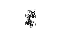 Cn1cc(S(=O)(=O)NC2(C(F)(F)F)CCOC2)cc1C(O)Nc1ccc(F)c(C#N)c1